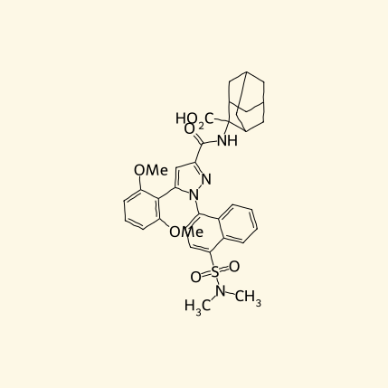 COc1cccc(OC)c1-c1cc(C(=O)NC2(C(=O)O)C3CC4CC(C3)CC2C4)nn1-c1ccc(S(=O)(=O)N(C)C)c2ccccc12